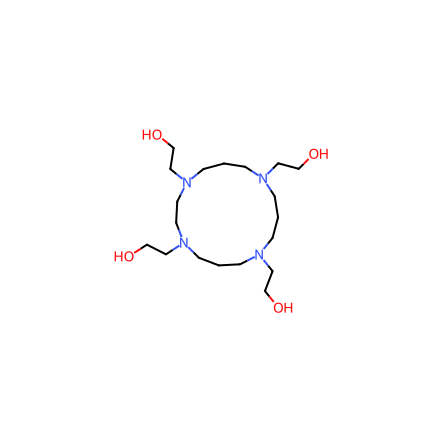 OCCN1CCCN(CCO)CCCN(CCO)CCN(CCO)CCC1